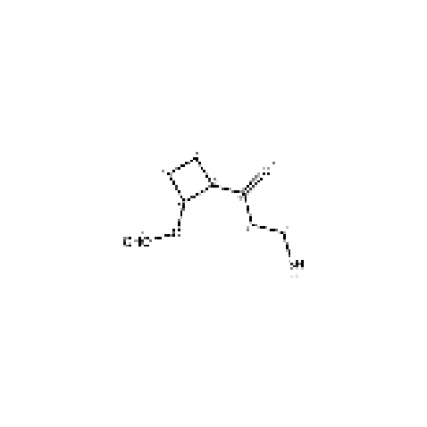 O=COC1CCC1C(=O)CCS